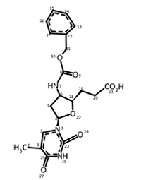 Cc1cn([C@H]2CC(NC(=O)OCc3ccccc3)[C@@H](CCC(=O)O)O2)c(=O)[nH]c1=O